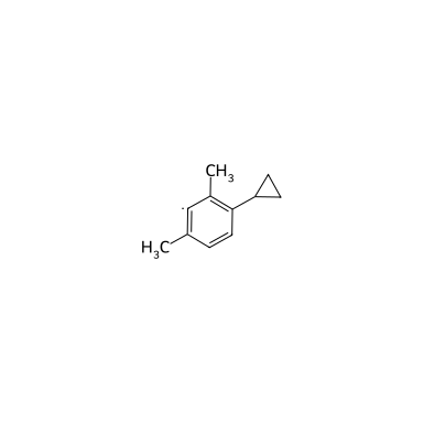 Cc1[c]c(C)c(C2CC2)cc1